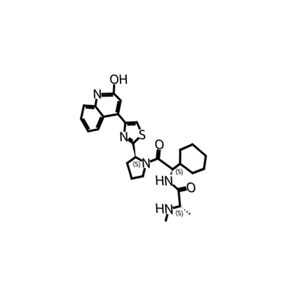 CN[C@@H](C)C(=O)N[C@H](C(=O)N1CCC[C@H]1c1nc(-c2cc(O)nc3ccccc23)cs1)C1CCCCC1